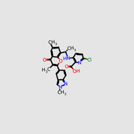 Cc1cc([C@@H](C)Nc2ccc(Cl)nc2C(=O)O)c2oc(-c3ccc4nn(C)cc4c3)c(C)c(=O)c2c1